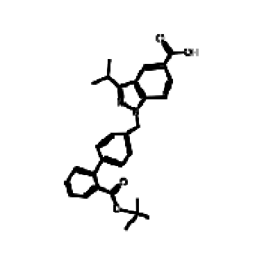 CC(C)c1nn(Cc2ccc(-c3ccccc3C(=O)OC(C)(C)C)cc2)c2ccc(C(=O)O)cc12